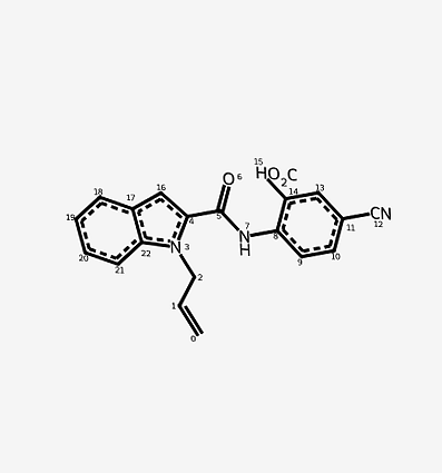 C=CCn1c(C(=O)Nc2ccc(C#N)cc2C(=O)O)cc2ccccc21